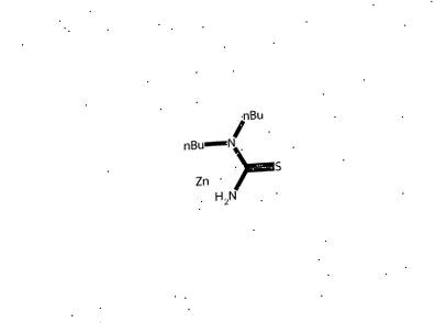 CCCCN(CCCC)C(N)=S.[Zn]